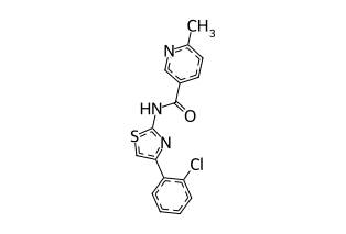 Cc1ccc(C(=O)Nc2nc(-c3ccccc3Cl)cs2)cn1